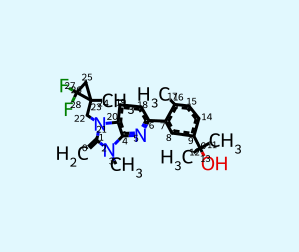 C=C1N(C)c2nc(-c3cc(C(C)(C)O)ccc3C)ccc2N1CC1(C)CC1(F)F